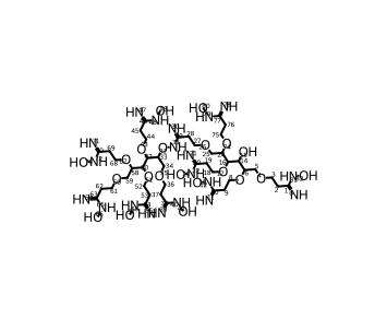 N=C(CCOCC(OCCC(=N)NO)C(O)C(OCCC(=N)NO)C(COCCC(=N)NOC(COCCC(=N)NO)C(OCCC(=N)NO)C(OCCC(=N)NO)C(COCCC(=N)NO)OCCC(=N)NO)OCCC(=N)NO)NO